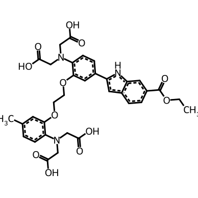 CCOC(=O)c1ccc2cc(-c3ccc(N(CC(=O)O)CC(=O)O)c(OCCOc4cc(C)ccc4N(CC(=O)O)CC(=O)O)c3)[nH]c2c1